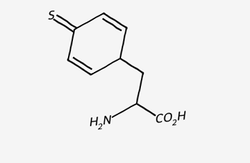 NC(CC1C=CC(=S)C=C1)C(=O)O